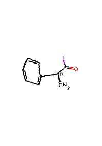 C[C@H](C(=O)I)c1ccccc1